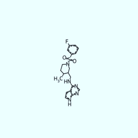 CC1CCN(S(=O)(=O)c2cccc(F)c2)CC1CNc1ncnc2[nH]ccc12